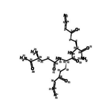 [N-]=[N+]=CC(=O)CC[C@H](NC(=O)[C@H](CCC(=O)C=[N+]=[N-])NC(=O)CC[C@H](N)C(N)=O)C(N)=O